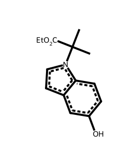 CCOC(=O)C(C)(C)n1ccc2cc(O)ccc21